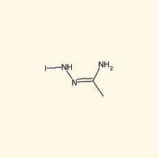 C/C(N)=N/NI